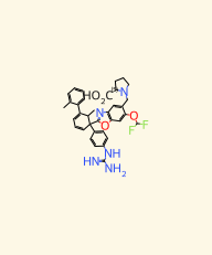 Cc1ccccc1C1=CC=CC(c2ccc(NC(=N)N)cc2)(c2nc3cc(CN4CCC[C@H]4C(=O)O)c(OC(F)F)cc3o2)C1C